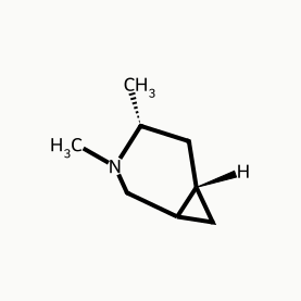 C[C@@H]1C[C@@H]2CC2CN1C